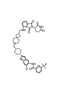 COc1cc2nn([C@H]3CC[C@H](CN4CCC5(CC4)CC(CNc4cccc6c4C(=O)N(C4CCC(=O)NC4=O)C6=O)C5)CC3)cc2cc1NC(=O)c1cccc(C(C)(C)F)n1